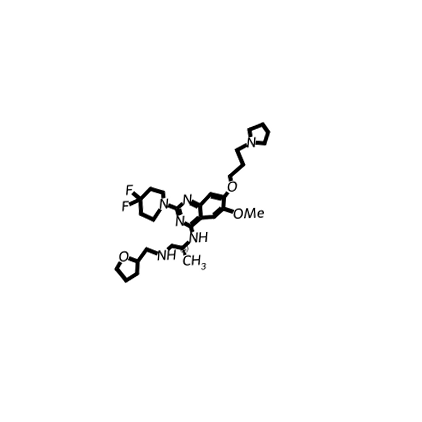 COc1cc2c(N[C@@H](C)CNCC3CCCO3)nc(N3CCC(F)(F)CC3)nc2cc1OCCCN1CCCC1